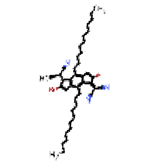 C#CC(C#N)C1C(Br)=Cc2c(CCCCCCCCCCCC)c3c(c(CCCCCCCCCCCC)c21)C=C(Br)C3=C(C#N)C#N